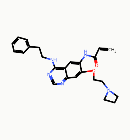 C=CC(=O)Nc1cc2c(NCCc3ccccc3)ncnc2cc1OCCN1CCC1